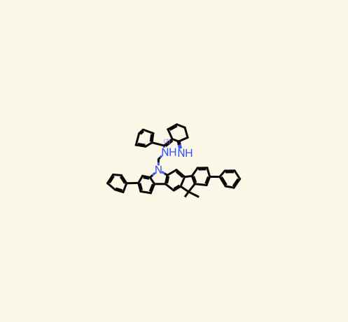 CC1(C)c2cc(-c3ccccc3)ccc2-c2cc3c(cc21)c1ccc(-c2ccccc2)cc1n3CN/C(=C1/C=CCCC1=N)c1ccccc1